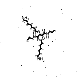 CCCNC(=O)[C@H](OCCCCCCCN)[C@@H](OCCCCCCCN)C(=O)NCCC